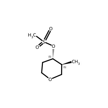 C[C@H]1COCC[C@@H]1OS(C)(=O)=O